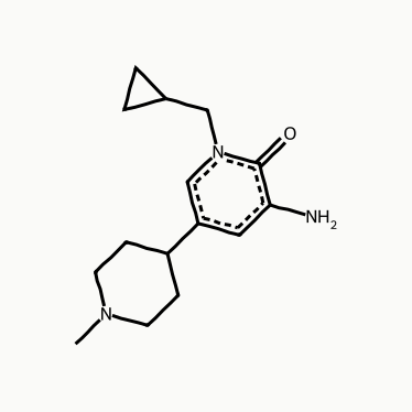 CN1CCC(c2cc(N)c(=O)n(CC3CC3)c2)CC1